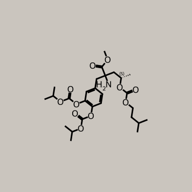 COC(=O)C(N)(Cc1ccc(OC(=O)OC(C)C)c(OC(=O)OC(C)C)c1)C[C@H](C)OC(=O)OCCC(C)C